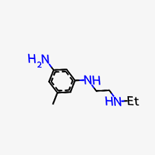 CCNCCNc1cc(C)cc(N)c1